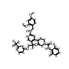 COc1ccc(CNc2ncc(C(C)(O)COc3ccnc(C(F)(F)F)n3)c(C3CCN(C(=O)Nc4c(F)cccc4F)CC3)n2)c(OC)c1